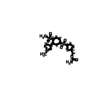 Cn1cc(-c2cc(S(=O)(=O)c3cnc(COC(N)=O)s3)ccc2S(C)(=O)=O)cn1